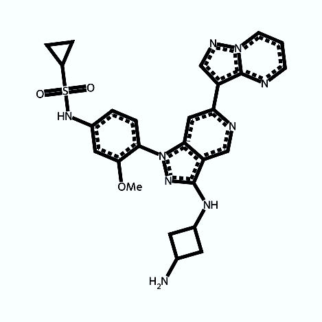 COc1cc(NS(=O)(=O)C2CC2)ccc1-n1nc(NC2CC(N)C2)c2cnc(-c3cnn4cccnc34)cc21